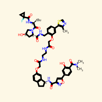 Cc1ncsc1-c1ccc(CNC(=O)[C@@H]2C[C@@H](O)CN2C(=O)[C@@H](NC(=O)C2(F)CC2)C(C)(C)C)c(OCC(=O)NCCNC(=O)COc2ccc3c(c2)[C@H](NC(=O)c2cc(-c4ccc(C(=O)N(C)C)c(O)c4)on2)CC3)c1